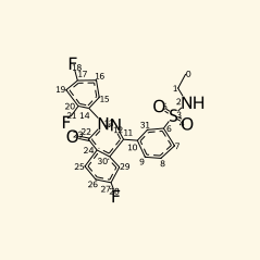 CCNS(=O)(=O)c1cccc(-c2nn(-c3ccc(F)cc3F)c(=O)c3ccc(F)cc23)c1